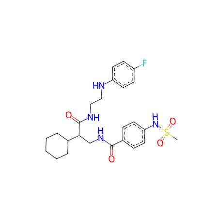 CS(=O)(=O)Nc1ccc(C(=O)NCC(C(=O)NCCNc2ccc(F)cc2)C2CCCCC2)cc1